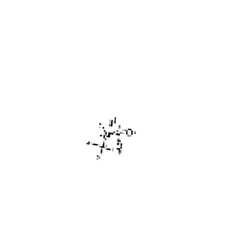 CN(C(C)(C)C)S(=O)(=O)Br